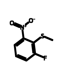 CSc1c(F)cccc1[N+](=O)[O-]